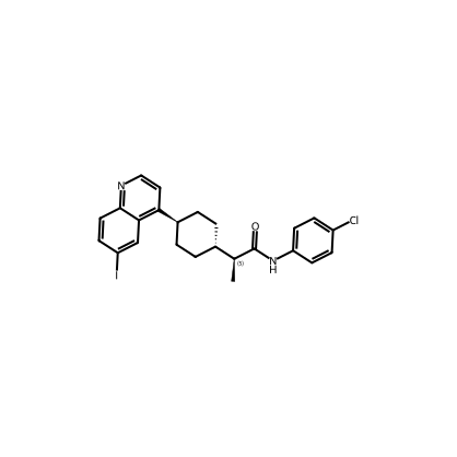 C[C@H](C(=O)Nc1ccc(Cl)cc1)[C@H]1CC[C@H](c2ccnc3ccc(I)cc32)CC1